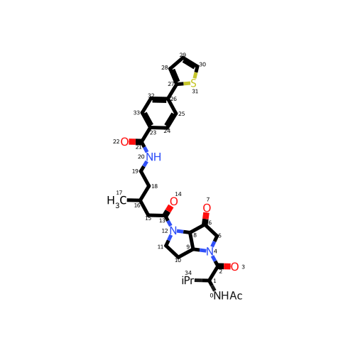 CC(=O)NC(C(=O)N1CC(=O)C2C1CCN2C(=O)CC(C)CCNC(=O)c1ccc(-c2cccs2)cc1)C(C)C